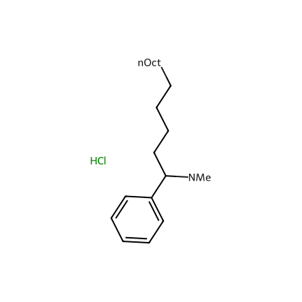 CCCCCCCCCCCCC(NC)c1ccccc1.Cl